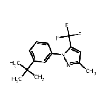 Cc1cc(C(F)(F)F)n(-c2cccc(C(C)(C)C)c2)n1